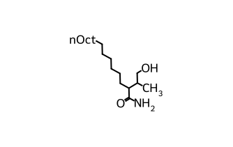 CCCCCCCCCCCCCCC(C(N)=O)C(C)CO